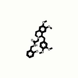 COc1ccc(CC2c3cc(OC)c(OC)cc3CCN2CC(=O)NCc2ccccc2Cl)cc1OC